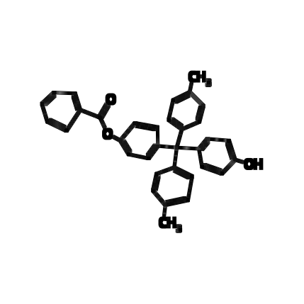 Cc1ccc(C(c2ccc(C)cc2)(c2ccc(O)cc2)c2ccc(OC(=O)c3ccccc3)cc2)cc1